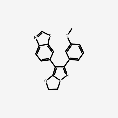 COc1cccc(-c2nn3c(c2-c2ccc4ncsc4c2)OCC3)c1